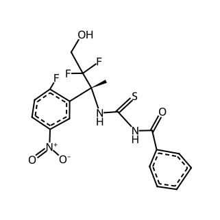 C[C@@](NC(=S)NC(=O)c1ccccc1)(c1cc([N+](=O)[O-])ccc1F)C(F)(F)CO